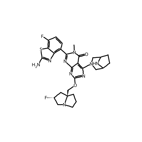 Cn1c(-c2ccc(F)c3sc(N)nc23)nc2nc(OC[C@@]34CCCN3C[C@H](F)C4)nc(N3CC4CCC(C3)N4)c2c1=O